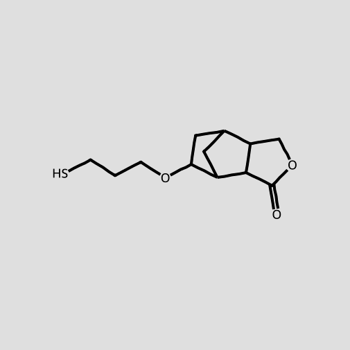 O=C1OCC2C3CC(OCCCS)C(C3)C12